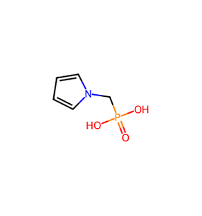 O=P(O)(O)Cn1cccc1